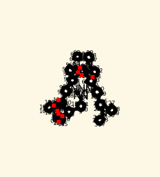 c1ccc(-c2ccc(-c3cccc(-c4nc(-n5c6cc(-c7ccc8c(c7)c7ccccc7n8-c7ccccc7)ccc6c6ccc(-c7ccc8c(c7)c7ccccc7n8-c7ccccc7)cc65)nc(-n5c6cc(-c7ccc8c(c7)c7ccccc7n8-c7ccccc7)ccc6c6ccc(-c7ccc8c(c7)c7ccccc7n8-c7ccccc7)cc65)n4)c3)cc2-c2ccccc2)cc1